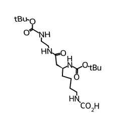 CC(C)(C)OC(=O)NCCNC(=O)C[C@H](CCCCNC(=O)O)NC(=O)OC(C)(C)C